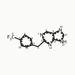 FC(F)(F)c1ccc(Cc2ncc3nc[nH]c3n2)cc1